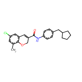 Cc1cc(Cl)cc2c1OCC(C(=O)Nc1ccc(C[C]3CCCC3)cc1)=C2